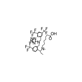 CCC(c1ccc(C(F)(F)F)cc1CN(Cc1cc(C(F)(F)F)cc(C(F)(F)F)c1)c1nnn(C)n1)N(C)CCCCCCC(=O)O